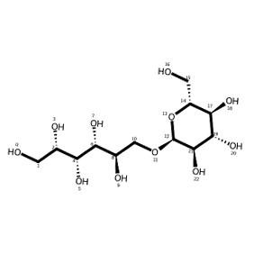 OC[C@H](O)[C@@H](O)[C@H](O)[C@H](O)CO[C@H]1O[C@H](CO)[C@@H](O)[C@H](O)[C@H]1O